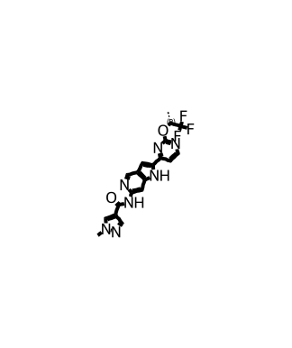 C[C@@H](Oc1nccc(-c2cc3cnc(NC(=O)c4cnn(C)c4)cc3[nH]2)n1)C(F)(F)F